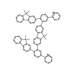 CC1(C)c2ccccc2-c2ccc(-c3ccc(-c4ccccn4)cc3-c3ccc4c(c3)C(C)(C)c3cc(-c5cc(-c6ccccn6)ccc5-c5ccc6c(c5)C(C)(C)c5ccccc5-6)ccc3-4)cc21